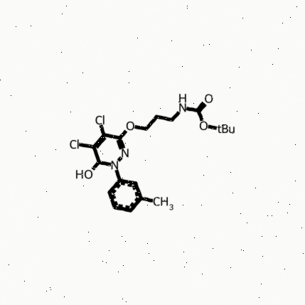 Cc1cccc(N2N=C(OCCCNC(=O)OC(C)(C)C)C(Cl)=C(Cl)C2O)c1